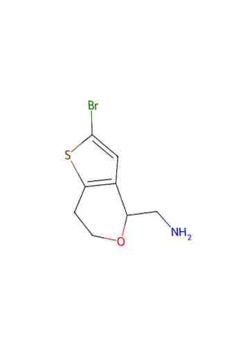 NCC1OCCc2sc(Br)cc21